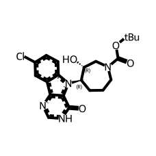 CC(C)(C)OC(=O)N1CCC[C@@H](n2c3ccc(Cl)cc3c3nc[nH]c(=O)c32)[C@H](O)C1